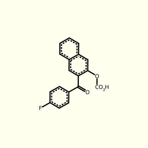 O=C(O)Oc1cc2ccccc2cc1C(=O)c1ccc(F)cc1